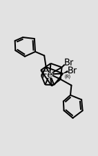 Br[C]12[CH]3[CH]4[CH]5[C]1(Cc1ccccc1)[Fe]43521678[CH]2[CH]1[C]6(Cc1ccccc1)[C@]7(Br)[CH]28